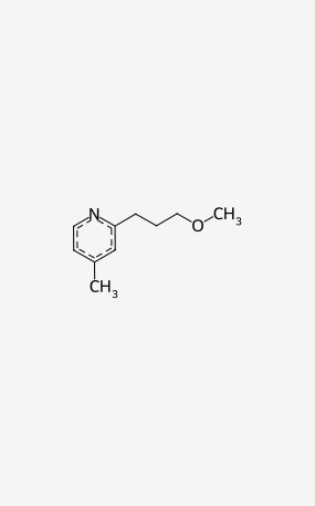 COCCCc1cc(C)ccn1